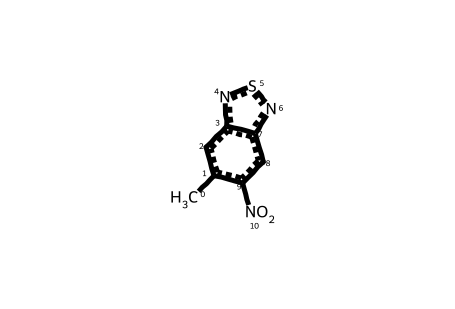 Cc1cc2nsnc2cc1[N+](=O)[O-]